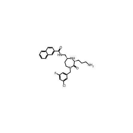 NCCC[C@@H]1N[C@H](CNC(=O)c2ccc3ccccc3c2)CCN(Cc2cc(F)cc(Cl)c2)C1=O